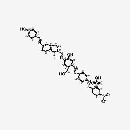 O=[N+]([O-])c1ccc(N=Nc2ccc(N=Nc3cc(O)c(N=Nc4ccc5cc(N=Nc6ccc(O)cc6)ccc5c4O)cc3CO)cc2)c(S(=O)(=O)O)c1